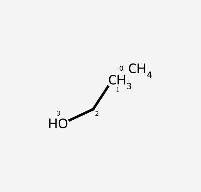 C.CCO